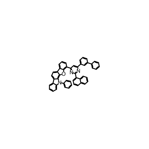 c1ccc(-c2cccc(-c3cc(-c4cccc5c4oc4c5ccc5c6ccccc6n(-c6ccccc6)c54)nc(-c4cccc5ccccc45)n3)c2)cc1